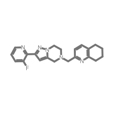 Fc1cccnc1-c1cc2n(n1)CCN(Cc1ccc3c(n1)CCCC3)C2